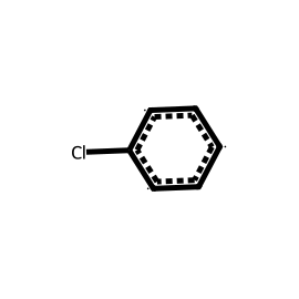 Clc1[c]c[c]c[c]1